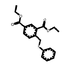 CCOC(=O)c1[c]c(C(=O)OCC)c(CSc2ccccc2)cc1